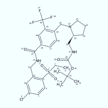 CCS(=O)(=O)c1ccc(Cl)cc1CNC(=O)c1ccc(CN2CCC[C@H]2CNC(=O)OC(C)(C)C)c(C(F)(F)F)c1